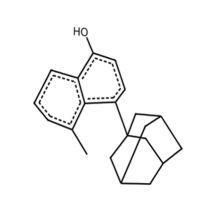 Cc1cccc2c(O)ccc(C34CC5CC(CC(C5)C3)C4)c12